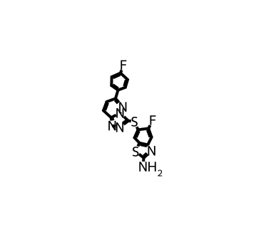 Nc1nc2cc(F)c(Sc3nnc4ccc(-c5ccc(F)cc5)nn34)cc2s1